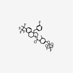 C[C@H]1CC(OS(=O)(=O)C(F)(F)F)=CC[C@H]1C(=O)N1CCC2(Cc3cccc(F)c3)c3ccc(C(C)(F)C(F)(F)F)cc3CCC12